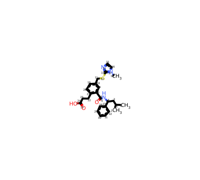 CC(C)CC(NC(=O)c1cc(CSc2nccn2C)ccc1CCC(=O)O)c1ccccc1